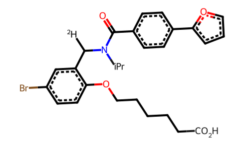 [2H]C(c1cc(Br)ccc1OCCCCCC(=O)O)N(C(=O)c1ccc(-c2ccco2)cc1)C(C)C